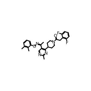 CC(=NOc1cccc(C)c1C)c1cnc(C)nc1C1CCN(C(=O)Cc2c(F)cccc2F)CC1